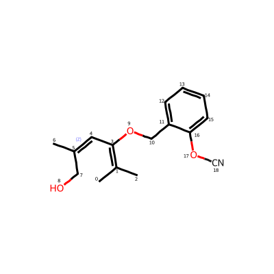 CC(C)=C(/C=C(/C)CO)OCc1ccccc1OC#N